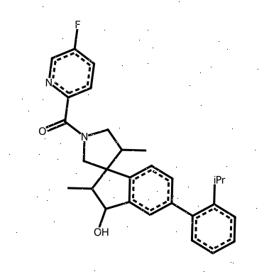 CC(C)c1ccccc1-c1ccc2c(c1)C(O)C(C)C21CN(C(=O)c2ccc(F)cn2)CC1C